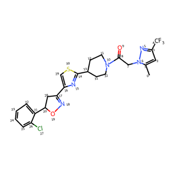 Cc1cc(C(F)(F)F)nn1CC(=O)N1CCC(c2nc(C3=NOC(c4ccccc4Cl)C3)cs2)CC1